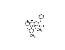 Cc1cc(Cc2ccccc2)c(O)c(C(C)c2cc(C)cc(Cc3ccccc3)c2O)c1